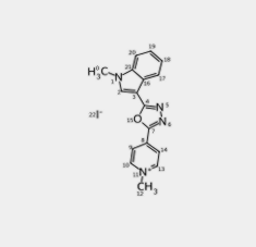 Cn1cc(-c2nnc(-c3cc[n+](C)cc3)o2)c2ccccc21.[I-]